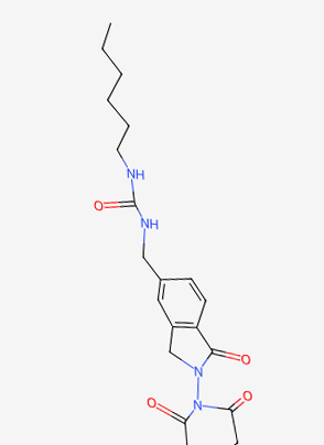 CCCCCCNC(=O)NCc1ccc2c(c1)CN(N1C(=O)CCCC1=O)C2=O